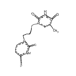 Cc1cn(CCCn2ccc(=O)[nH]c2=O)c(=O)[nH]c1=O